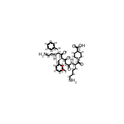 CC(C)C[C@@H](C(=O)N[C@H](CCCCN)C(=O)N1CCC(C(=O)O)CC1)C(=O)[C@@H](Cc1ccccc1)C(=O)[C@@H](Cc1ccccc1)NCCN